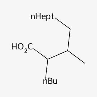 CCCCCCCCC(C)C(CCCC)C(=O)O